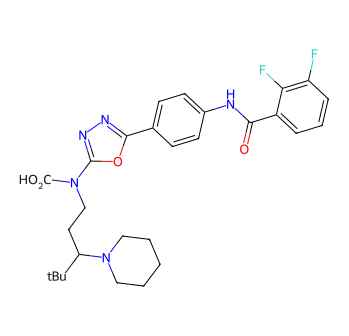 CC(C)(C)C(CCN(C(=O)O)c1nnc(-c2ccc(NC(=O)c3cccc(F)c3F)cc2)o1)N1CCCCC1